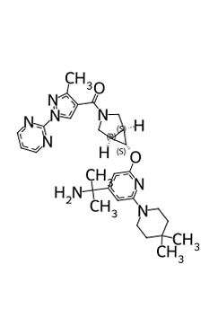 Cc1nn(-c2ncccn2)cc1C(=O)N1C[C@@H]2[C@H](C1)[C@H]2Oc1cc(C(C)(C)N)cc(N2CCC(C)(C)CC2)n1